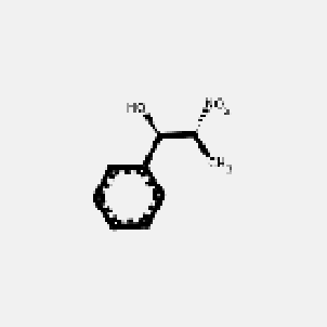 C[C@H]([C@H](O)c1ccccc1)[N+](=O)[O-]